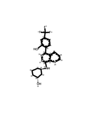 Oc1cc(C(F)(F)F)ccc1-c1nnc(N[C@@H]2CCC[C@@H](O)C2)c2ncccc12